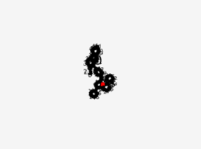 C[Si]1(C)c2cc(N(c3ccc(-c4ccccc4)cc3)c3cccc4sc5ccccc5c34)ccc2-c2c1ccc1c2oc2ccccc21